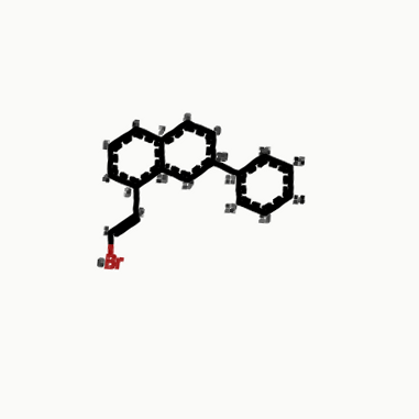 BrC=Cc1cccc2ccc(-c3ccccc3)cc12